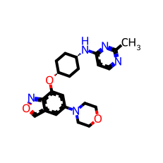 Cc1nccc(N[C@H]2CC[C@@H](Oc3cc(N4CCOCC4)cc4conc34)CC2)n1